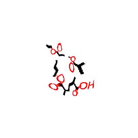 C=C(C)C(=O)OC.C=C(CC=C(C)C(=O)O)C(=O)OCCCC.C=CC(=O)OCC